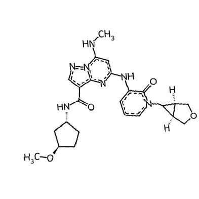 CNc1cc(Nc2cccn(C3[C@H]4COC[C@@H]34)c2=O)nc2c(C(=O)N[C@@H]3CC[C@@H](OC)C3)cnn12